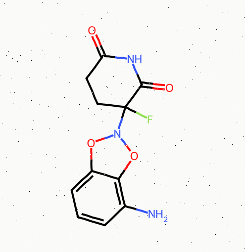 Nc1cccc2c1ON(C1(F)CCC(=O)NC1=O)O2